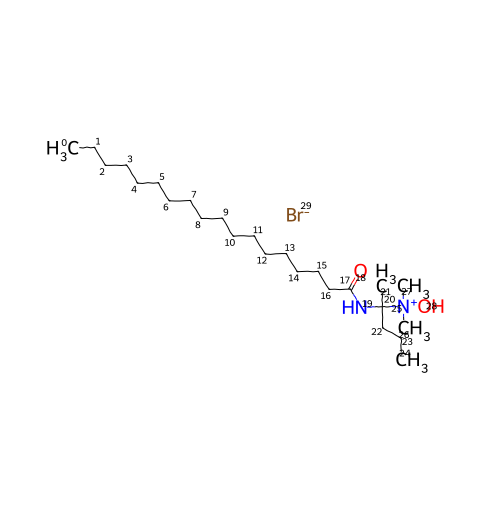 CCCCCCCCCCCCCCCCCC(=O)NC(C)(CCC)[N+](C)(C)O.[Br-]